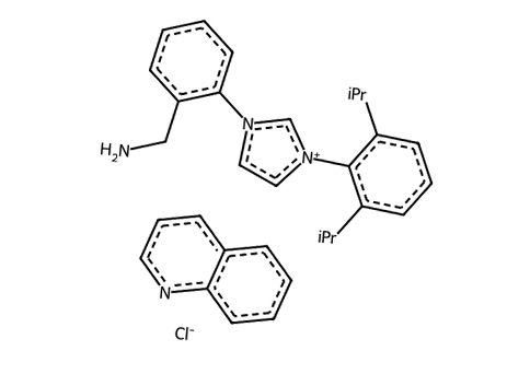 CC(C)c1cccc(C(C)C)c1-[n+]1ccn(-c2ccccc2CN)c1.[Cl-].c1ccc2ncccc2c1